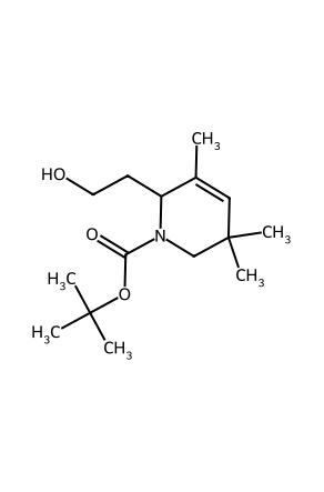 CC1=CC(C)(C)CN(C(=O)OC(C)(C)C)C1CCO